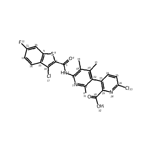 Cc1nc(NC(=O)c2sc3cc(F)ccc3c2Cl)c(C)c(C)c1-c1ccc(Cl)nc1C(=O)O